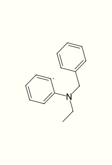 CCN(Cc1ccccc1)c1[c]cccc1